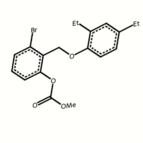 CCc1ccc(OCc2c(Br)cccc2OC(=O)OC)c(CC)c1